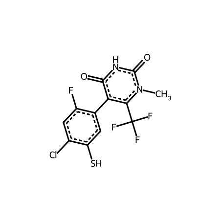 Cn1c(C(F)(F)F)c(-c2cc(S)c(Cl)cc2F)c(=O)[nH]c1=O